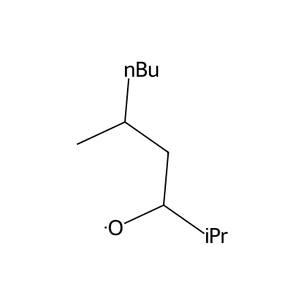 CCCCC(C)CC([O])C(C)C